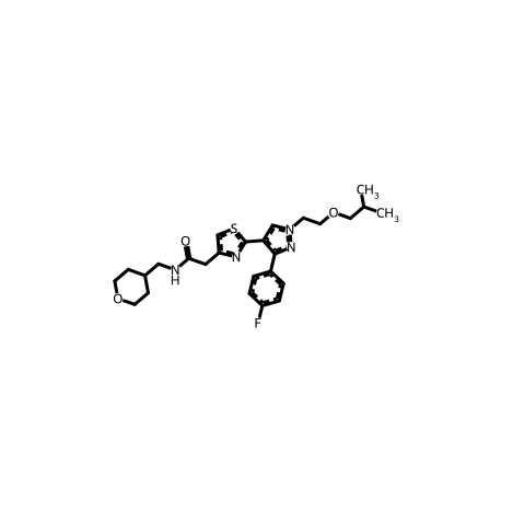 CC(C)COCCn1cc(-c2nc(CC(=O)NCC3CCOCC3)cs2)c(-c2ccc(F)cc2)n1